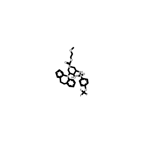 COCCOC(=O)N1CC(NS(=N)(=O)c2ccc(OC(F)(F)F)cc2)C(O)C(N2c3ccccc3CCc3ccccc32)C1